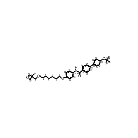 CC1(COCCCCCCOc2ccc(NC(=O)c3ccc(-c4ccc(OC(F)(F)F)cc4)cc3)cc2)COC1